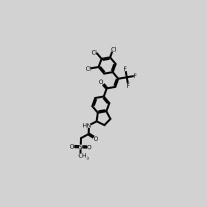 CS(=O)(=O)CC(=O)NC1CCc2cc(C(=O)/C=C(\c3cc(Cl)c(Cl)c(Cl)c3)C(F)(F)F)ccc21